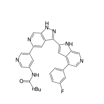 CCCCC(=O)Nc1cncc(-c2cc3c(-c4cc5c(-c6cccc(F)c6)cncc5[nH]4)n[nH]c3cn2)c1